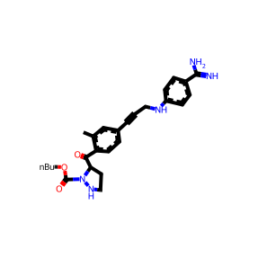 CCCCOC(=O)N1NCCC1C(=O)c1ccc(C#CCNc2ccc(C(=N)N)cc2)cc1C